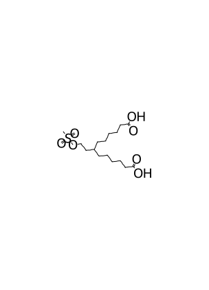 CS(=O)(=O)OCCC(CCCCCC(=O)O)CCCCCC(=O)O